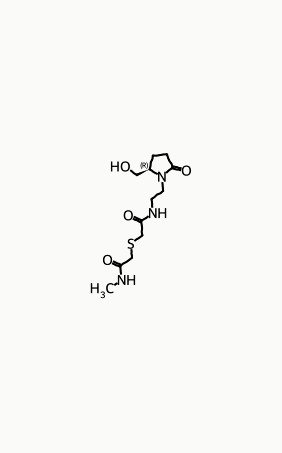 CNC(=O)CSCC(=O)NCCN1C(=O)CC[C@@H]1CO